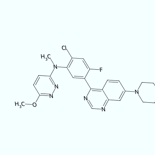 COc1ccc(N(C)c2cc(-c3ncnc4cc(N5CCOCC5)ccc34)c(F)cc2Cl)nn1